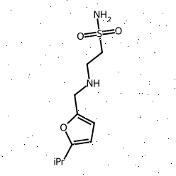 CC(C)c1ccc(CNCCS(N)(=O)=O)o1